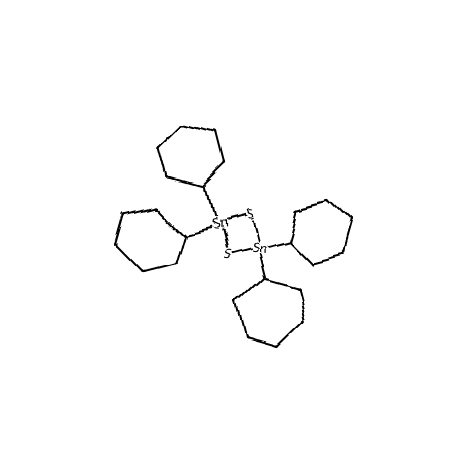 C1CC[CH]([Sn]2([CH]3CCCCC3)[S][Sn]([CH]3CCCCC3)([CH]3CCCCC3)[S]2)CC1